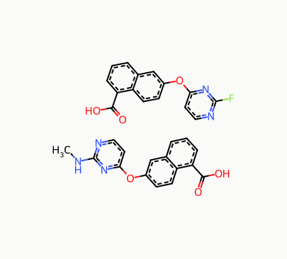 CNc1nccc(Oc2ccc3c(C(=O)O)cccc3c2)n1.O=C(O)c1cccc2cc(Oc3ccnc(F)n3)ccc12